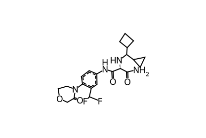 NC(=O)[C@@H](NC(C1CCC1)C1CC1)C(=O)Nc1ccc(N2CCOCC2=O)c(C(F)F)c1